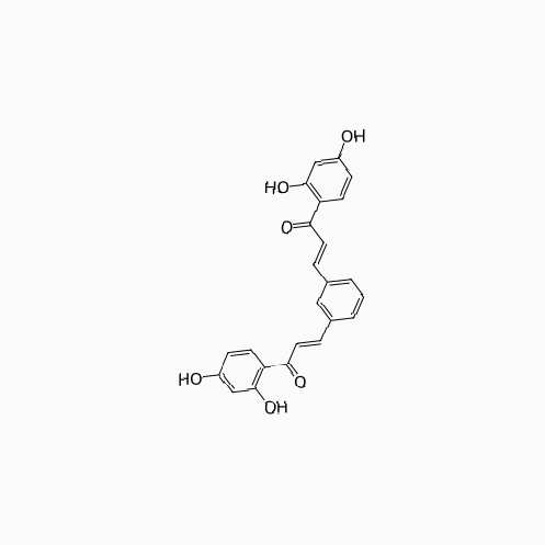 O=C(C=Cc1cccc(C=CC(=O)c2ccc(O)cc2O)c1)c1ccc(O)cc1O